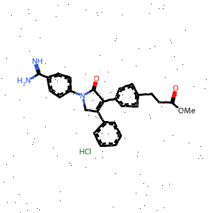 COC(=O)CCc1ccc(C2=C(c3ccccc3)CN(c3ccc(C(=N)N)cc3)C2=O)cc1.Cl